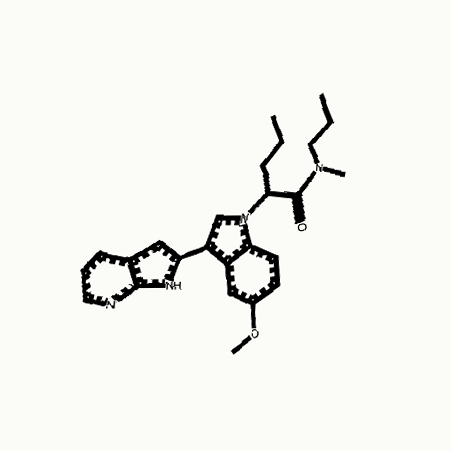 CCCC(C(=O)N(C)CCC)n1cc(-c2cc3cccnc3[nH]2)c2cc(OC)ccc21